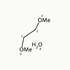 COCCOC.O